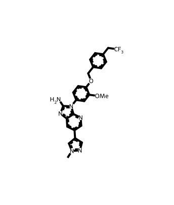 COc1cc(-n2c(N)nc3cc(-c4cnn(C)c4)cnc32)ccc1OCc1ccc(CC(F)(F)F)cc1